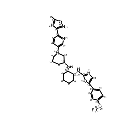 Cc1nc(-c2ccc(N3CCC[C@H](N[C@@H]4CCCC[C@H]4Nc4ncc(-c5ccc(OC(F)(F)F)cc5)o4)C3)cn2)no1